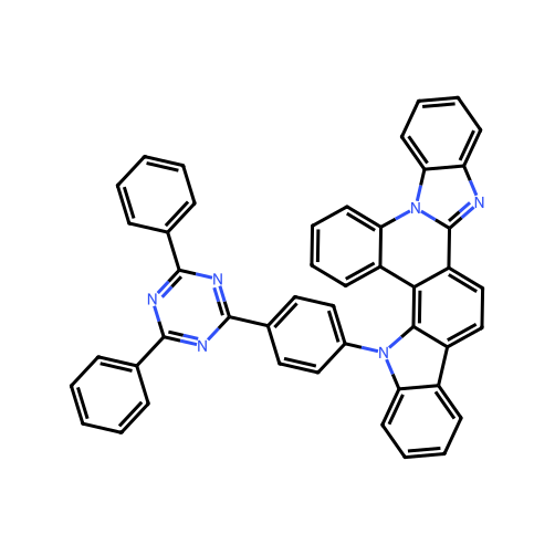 c1ccc(-c2nc(-c3ccccc3)nc(-c3ccc(-n4c5ccccc5c5ccc6c(c7ccccc7n7c8ccccc8nc67)c54)cc3)n2)cc1